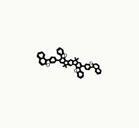 CC1(C)c2cc3c(cc2-c2c1cc(-c1ccc4c(c1)oc1ccc5ccccc5c14)c1c2oc2ccccc21)C(C)(C)c1cc(-c2ccc4c(c2)oc2ccc5ccccc5c24)c2c(oc4ccccc42)c1-3